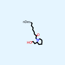 CCCCCCCCCCCCCCCCC(=O)CN1CCCCC1CCO